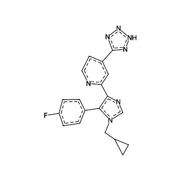 Fc1ccc(-c2c(-c3cc(-c4nn[nH]n4)ccn3)ncn2CC2CC2)cc1